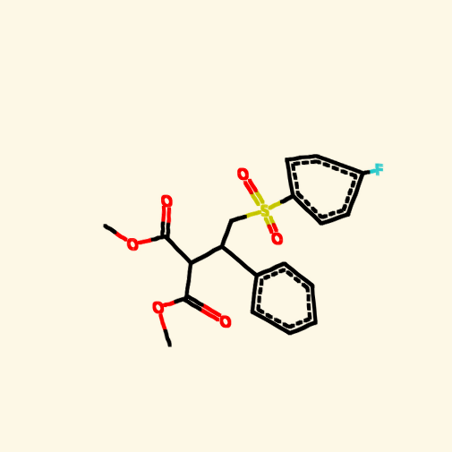 COC(=O)C(C(=O)OC)C(CS(=O)(=O)c1ccc(F)cc1)c1ccccc1